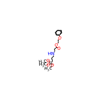 CO[Si](CCCNCCC(=O)OCCOc1ccccc1)(OC)OC